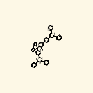 c1ccc(-c2nc(-c3ccccc3)nc(-c3ccc4c(c3)Oc3cc(-c5ccc(-c6cc(-c7ccccn7)nc(-c7ccccn7)c6)cc5)ccc3C43c4ccccc4-c4ccccc43)n2)cc1